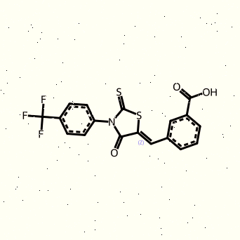 O=C(O)c1cccc(/C=C2\SC(=S)N(c3ccc(C(F)(F)F)cc3)C2=O)c1